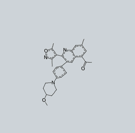 COC1CCN(c2ccc(-c3cc4c(C(C)=O)cc(C)cc4nc3-c3c(C)noc3C)cc2)CC1